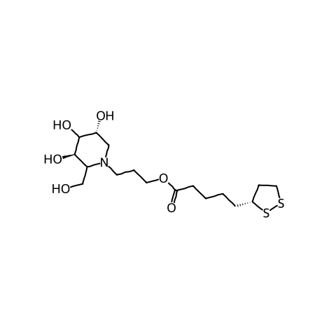 O=C(CCCC[C@@H]1CCSS1)OCCCN1C[C@@H](O)C(O)[C@H](O)C1CO